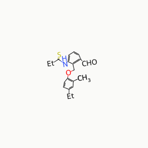 CCC(=S)Nc1cccc(C=O)c1COc1ccc(CC)cc1C